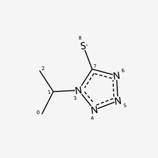 CC(C)n1nnnc1[S]